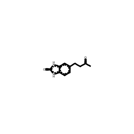 CC(=O)CCc1ccc2[nH]c(=O)[nH]c2c1